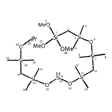 CO[Si](C[Si](C)(C)O[Si](C)(C)C[Si](C)(C)O[SiH2]O[Si](C)(C)C[Si](C)(C)OC(C)C)(OC)OC